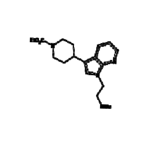 CCOC(=O)N1CCC(c2cn(CCOC)c3ncccc23)CC1